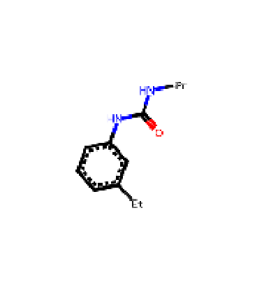 CCc1cccc(NC(=O)NC(C)C)c1